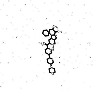 C=C(C1CCC(C2CCC(N3CCOCC3)CC2)CN1)C1CC2C(CN1)CC1C(O)C(C)CC3(CCCCC3)C21